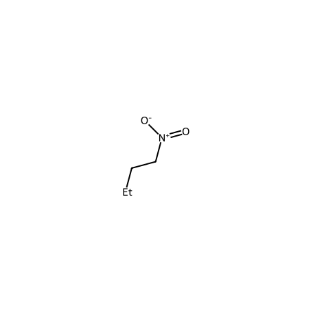 [CH2]CCC[N+](=O)[O-]